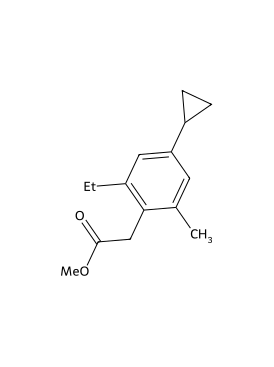 CCc1cc(C2CC2)cc(C)c1CC(=O)OC